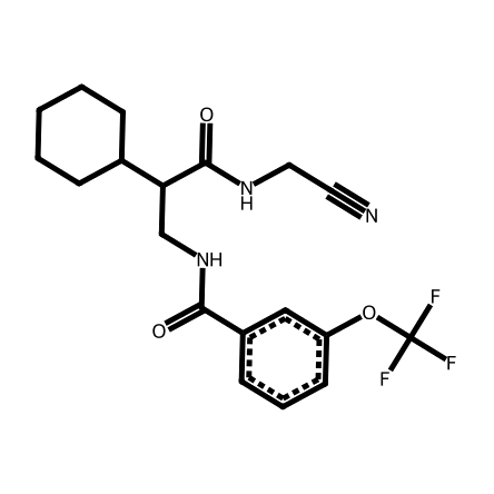 N#CCNC(=O)C(CNC(=O)c1cccc(OC(F)(F)F)c1)C1CCCCC1